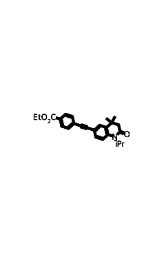 CCOC(=O)c1ccc(C#Cc2ccc3c(c2)C(C)(C)CC(=O)N3C(C)C)cc1